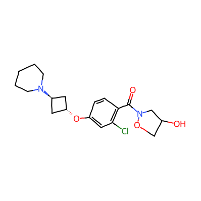 O=C(c1ccc(O[C@H]2C[C@H](N3CCCCC3)C2)cc1Cl)N1CC(O)CO1